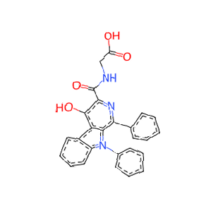 O=C(O)CNC(=O)c1nc(-c2ccccc2)c2c(c1O)c1ccccc1n2-c1ccccc1